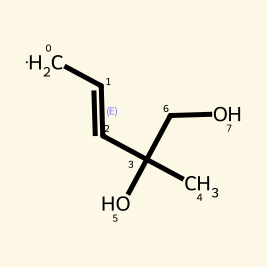 [CH2]/C=C/C(C)(O)CO